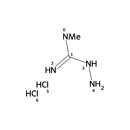 CNC(=N)NN.Cl.Cl